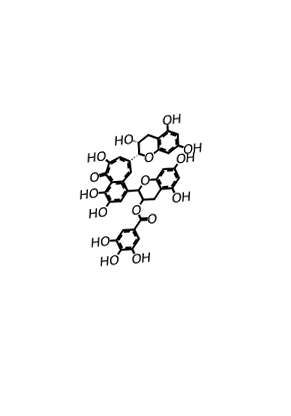 O=C(OC1Cc2c(O)cc(O)cc2OC1c1cc(O)c(O)c2c(=O)c(O)cc([C@H]3Oc4cc(O)cc(O)c4C[C@H]3O)cc12)c1cc(O)c(O)c(O)c1